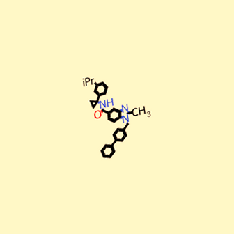 Cc1nc2cc(C(=O)NC3(c4cccc(C(C)C)c4)CC3)ccc2n1Cc1ccc(-c2ccccc2)cc1